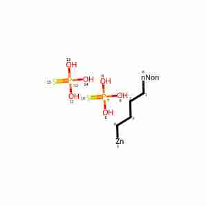 CCCCCCCCCCCC[CH2][Zn].OP(O)(O)=S.OP(O)(O)=S